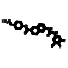 O=C(O)C[C@H]1CC[C@H](OC(=O)N2CCc3cc(NC(=O)Nc4cc(F)c(F)c(F)c4)ccc3C2)CC1